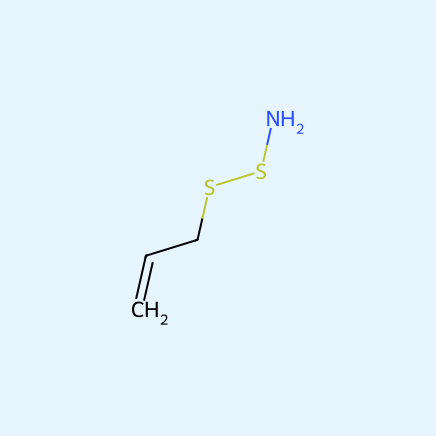 C=CCSSN